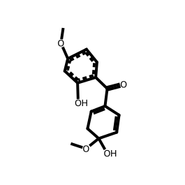 COc1ccc(C(=O)C2=CCC(O)(OC)C=C2)c(O)c1